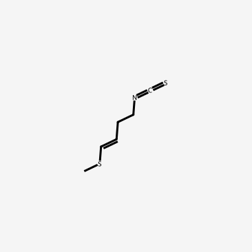 CS/C=C/CCN=C=S